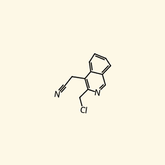 N#CCc1c(CCl)ncc2ccccc12